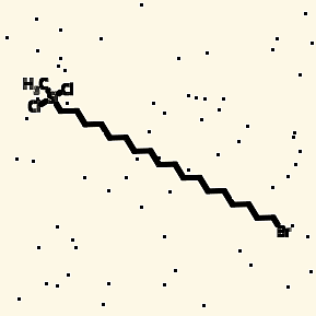 C[Si](Cl)(Cl)CCCCCCCCCCCCCCCCCCBr